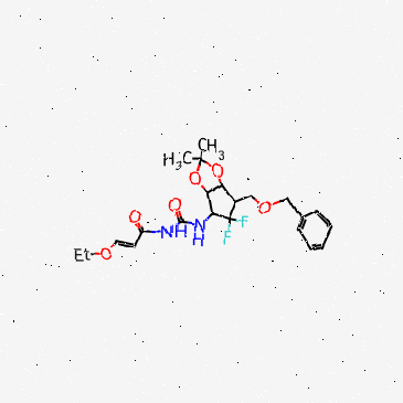 CCOC=CC(=O)NC(=O)NC1C2OC(C)(C)OC2C(COCc2ccccc2)C1(F)F